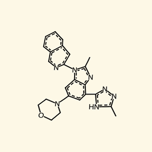 Cc1nnc(-c2cc(N3CCOCC3)cc3c2nc(C)n3-c2cc3ccccc3cn2)[nH]1